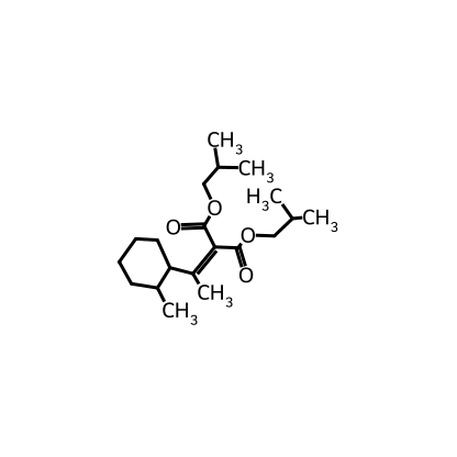 CC(=C(C(=O)OCC(C)C)C(=O)OCC(C)C)C1CCCCC1C